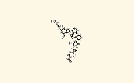 COc1nc(-c2cccc(-c3ccnc(-c4cc5c(OC)nc(CNCCO)nn5c4)c3Cl)c2Cl)ccc1CNC1CCN(C(C)=O)CC1